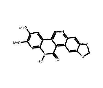 CCCCn1c(=O)c2c3cc4c(cc3ncc2c2cc(OC)c(OC)nc21)OCO4